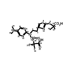 CCCCCCCN(CCc1csc(SC(C)(C)C(=O)O)n1)c1ncc(N(C)C)cn1.O=C(O)C(F)(F)F